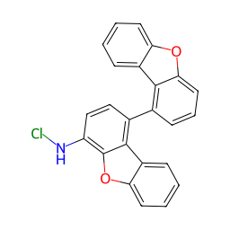 ClNc1ccc(-c2cccc3oc4ccccc4c23)c2c1oc1ccccc12